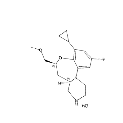 COC[C@@H]1C[C@@H]2CNCCN2c2cc(F)cc(C3CC3)c2O1.Cl